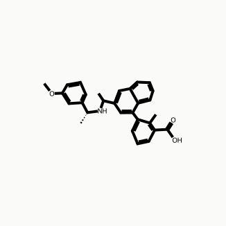 COc1cccc([C@@H](C)NC(C)c2cc(-c3cccc(C(=O)O)c3C)c3ccccc3c2)c1